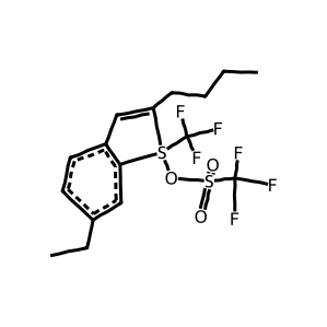 CCCCC1=Cc2ccc(CC)cc2S1(OS(=O)(=O)C(F)(F)F)C(F)(F)F